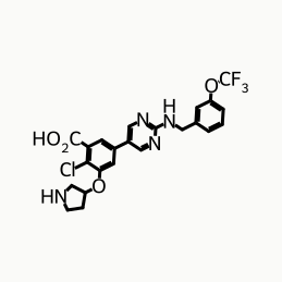 O=C(O)c1cc(-c2cnc(NCc3cccc(OC(F)(F)F)c3)nc2)cc(OC2CCNC2)c1Cl